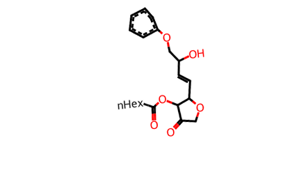 CCCCCCC(=O)OC1C(=O)COC1C=CC(O)COc1ccccc1